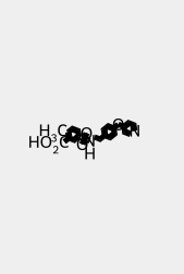 Cc1ccc(S(=O)(=O)NCCc2ccc(Oc3ccncc3)cc2)cc1C(=O)O